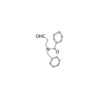 O=CCCN(Cc1ccccc1)C(=O)c1ccccc1